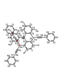 Cc1cc(C)c(CC#Cc2ccccc2)c(B(c2c(C)c(C)cc(C)c2CC#Cc2ccccc2)c2c(C)c(C)cc(C)c2CC#Cc2ccccc2)c1C